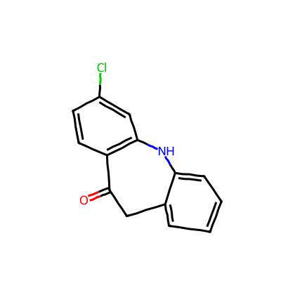 O=C1Cc2ccccc2Nc2cc(Cl)ccc21